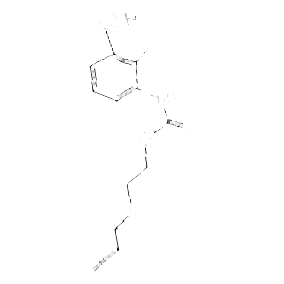 C=CCSCCOC(=O)Nc1cccc(C(=O)O)c1O